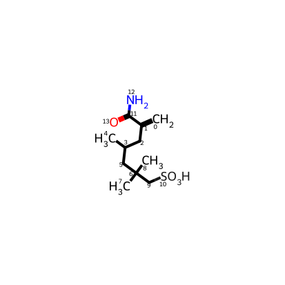 C=C(CC(C)CC(C)(C)CS(=O)(=O)O)C(N)=O